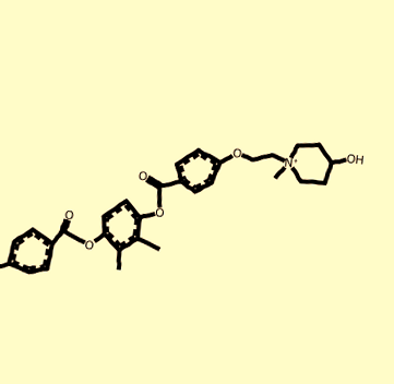 Cc1c(OC(=O)c2ccc(O)cc2)ccc(OC(=O)c2ccc(OCC[N+]3(C)CCC(O)CC3)cc2)c1C